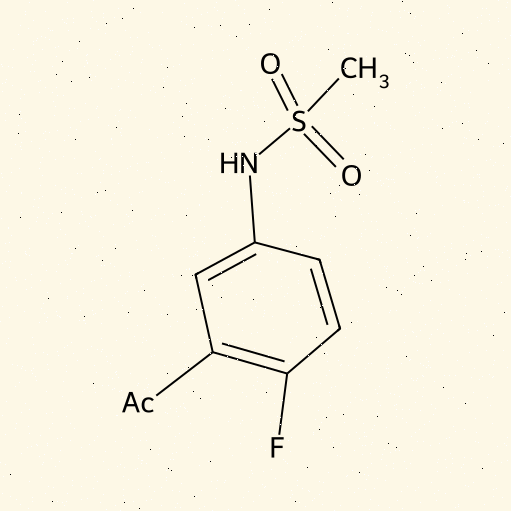 CC(=O)c1cc(NS(C)(=O)=O)ccc1F